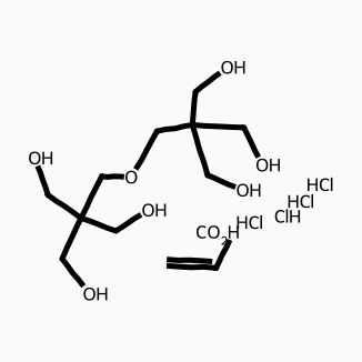 C=CC(=O)O.Cl.Cl.Cl.Cl.OCC(CO)(CO)COCC(CO)(CO)CO